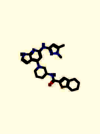 Cc1cc(Nc2cc(N3CCC[C@H](NC(=O)c4cc5c(s4)CCCC5)C3)c3cc[nH]c3n2)nn1C